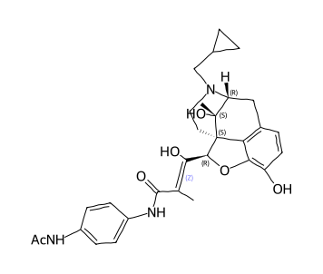 CC(=O)Nc1ccc(NC(=O)/C(C)=C(\O)[C@@H]2Oc3c(O)ccc4c3[C@@]23CCN(CC2CC2)[C@H](C4)[C@@]3(C)O)cc1